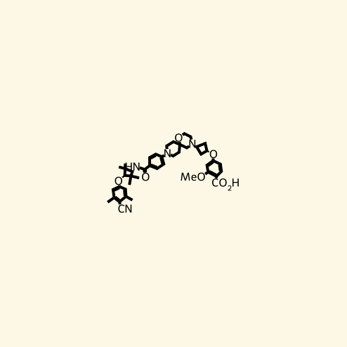 COc1cc(O[C@H]2C[C@H](N3CCOC4(CCN(c5ccc(C(=O)N[C@H]6C(C)(C)[C@H](Oc7cc(C)c(C#N)c(C)c7)C6(C)C)cc5)CC4)C3)C2)ccc1C(=O)O